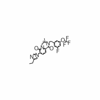 CCc1cn(-c2ccc3n(c2=O)C[C@@H](C)N(Cc2cc(F)cc(OC(F)(F)F)c2)C3=O)cn1